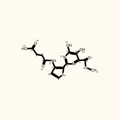 COC(=O)c1nc(-c2sccc2NC(=O)CCC(=O)O)nc(O)c1O